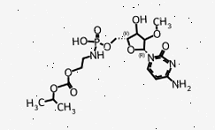 COC1C(O)[C@@H](COP(=O)(O)NCCOC(=O)OC(C)C)O[C@H]1n1ccc(N)nc1=O